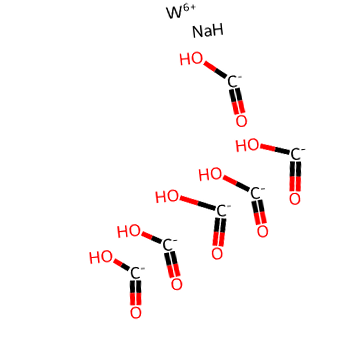 O=[C-]O.O=[C-]O.O=[C-]O.O=[C-]O.O=[C-]O.O=[C-]O.[NaH].[W+6]